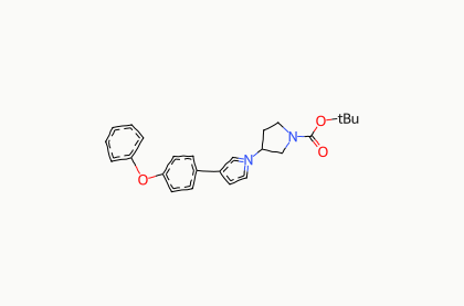 CC(C)(C)OC(=O)N1CCC(n2ccc(-c3ccc(Oc4ccccc4)cc3)c2)C1